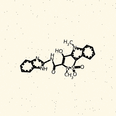 CN1C(C(=O)Nc2nc3ccccc3[nH]2)=C(O)c2c(c3ccccc3n2C)S1(=O)=O